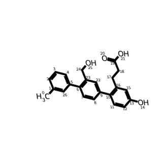 Cc1cccc(-c2ccc(-c3ccc(O)cc3CCC(=O)O)cc2CO)c1